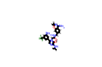 CC(C)Nc1ncc(-c2cc(N)cc(C(F)(F)F)c2)n(CC(=O)NCc2ccc3c(c2)OC(C)(C)N=C3N)c1=O